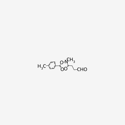 Cc1ccc(C(=O)ON(C)C(=O)CCC=O)cc1